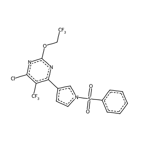 O=S(=O)(c1ccccc1)n1ccc(-c2nc(OCC(F)(F)F)nc(Cl)c2C(F)(F)F)c1